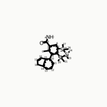 Cc1c(C([NH])=O)cc2c(c1-c1cccc3c1C=CC3)[Si](C)(C)[Si](C)(C)[Si]2(C)C